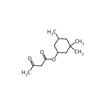 CC(=O)CC(=O)OC1CC(C)CC(C)(C)C1